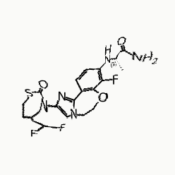 C[C@H](Nc1ccc2c(c1F)OCCn1cc(N3C(=O)SCCC3C(F)F)nc1-2)C(N)=O